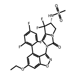 CCOc1cc(-c2c(F)cc(F)cc2F)c2c(-n3cc4n(c3=O)C[C@@H](NS(C)(=O)=O)C4(F)F)noc2c1